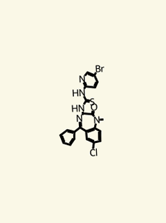 CN1C(=O)C(NC(=S)Nc2ccc(Br)cn2)N=C(c2ccccc2)c2cc(Cl)ccc21